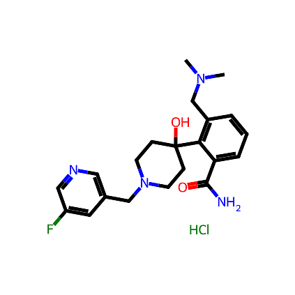 CN(C)Cc1cccc(C(N)=O)c1C1(O)CCN(Cc2cncc(F)c2)CC1.Cl